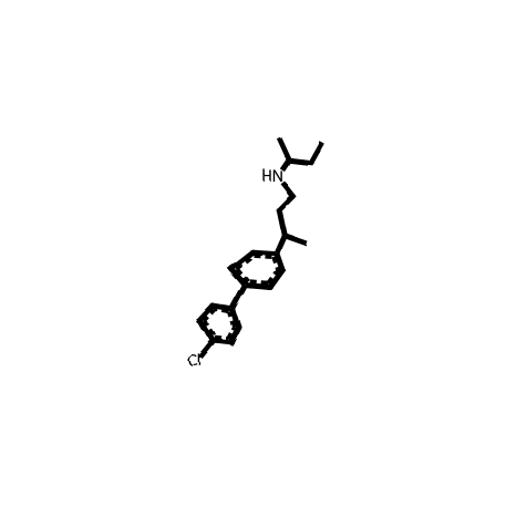 CCC(C)NCCC(C)c1ccc(-c2ccc(Cl)cc2)cc1